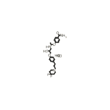 CC(NCC(O)COc1ccc(CCCN2CCC(F)(F)CC2)cc1)Oc1ccc(C(N)=O)cc1.Cl.Cl